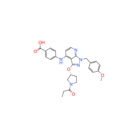 CCC(=O)N1CC[C@@H](Oc2nn(Cc3ccc(OC)cc3)c3nccc(Nc4ccc(C(=O)O)cc4)c23)C1